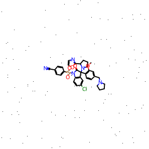 COc1cc(CN2CCCC2)ccc1C1(N2CCCC2c2ncco2)C(=O)N(S(=O)(=O)c2ccc(C#N)cc2)c2ccc(Cl)cc21